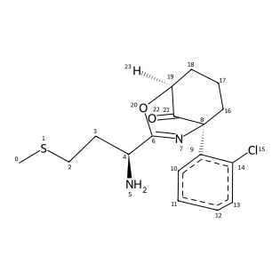 CSCC[C@H](N)C1=N[C@]2(c3ccccc3Cl)CCC[C@H](O1)C2=O